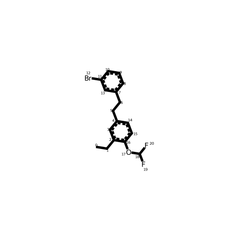 CCc1cc(CCc2cccc(Br)c2)ccc1OC(F)F